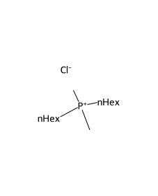 CCCCCC[P+](C)(C)CCCCCC.[Cl-]